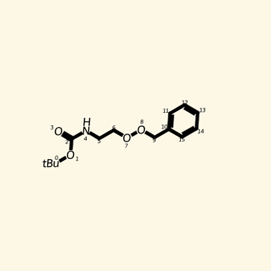 CC(C)(C)OC(=O)NCCOOCc1ccccc1